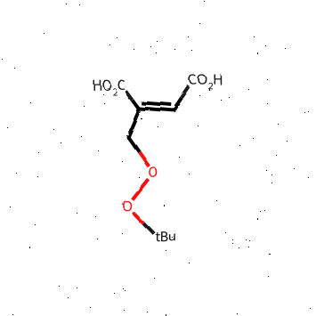 CC(C)(C)OOCC(=CC(=O)O)C(=O)O